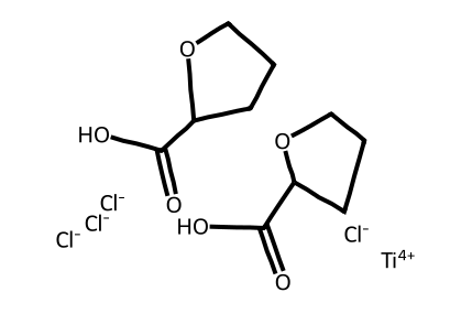 O=C(O)C1CCCO1.O=C(O)C1CCCO1.[Cl-].[Cl-].[Cl-].[Cl-].[Ti+4]